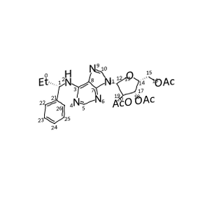 CC[C@H](Nc1ncnc2c1ncn2[C@@H]1O[C@H](COC(C)=O)[C@H](OC(C)=O)C1OC(C)=O)c1ccccc1